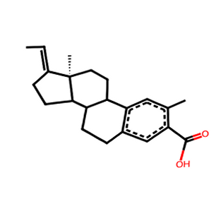 CC=C1CCC2C3CCc4cc(C(=O)O)c(C)cc4C3CC[C@]12C